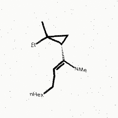 CCCCCCC/C=C(\NC)[C@H]1CC1(C)CC